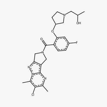 Cc1nc2c3c(nn2c(C)c1Cl)CN(C(=O)c1ccc(F)cc1OC1CCN(CC(C)O)C1)C3